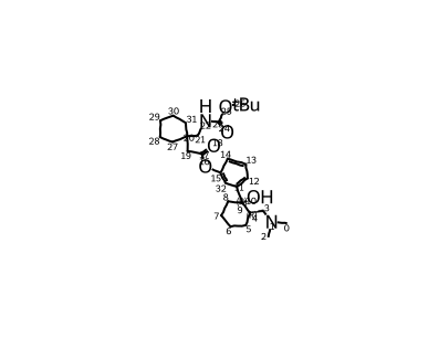 CN(C)C[C@H]1CCCC[C@]1(O)c1cccc(OC(=O)CC2(CNC(=O)OC(C)(C)C)CCCCC2)c1